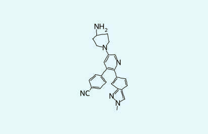 Cn1cc2ccc(-c3ncc(N4CCC(N)CC4)cc3-c3ccc(C#N)cc3)cc2n1